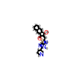 Cn1c(-c2cccnc2)nc2sc(C=C3C(=O)c4cc5ccccc5cc4C3=O)nc21